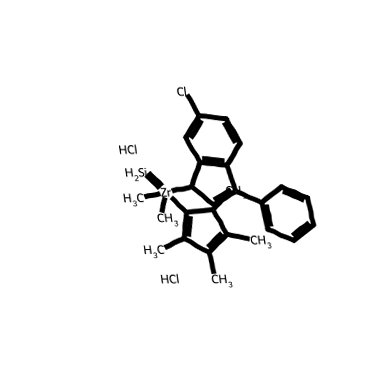 CC1=C(C)C(C)[C]([Zr]([CH3])([CH3])(=[SiH2])[CH]2C=C(c3ccccc3)c3ccc(Cl)cc32)=C1C.Cl.Cl